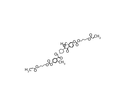 C=CC(=O)OCCCCOC(=O)Oc1ccc(C(=O)C(=O)[C@H]2CC[C@H](C(=O)C(=O)c3ccc(OC(=O)OCCCCOC(=O)C=C)cc3C)CC2)c(C)c1